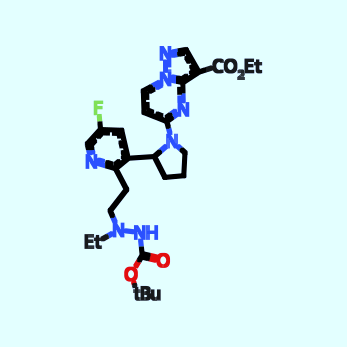 CCOC(=O)c1cnn2ccc(N3CCCC3c3cc(F)cnc3CCN(CC)NC(=O)OC(C)(C)C)nc12